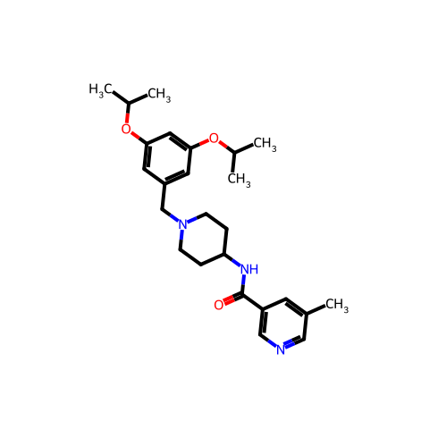 Cc1cncc(C(=O)NC2CCN(Cc3cc(OC(C)C)cc(OC(C)C)c3)CC2)c1